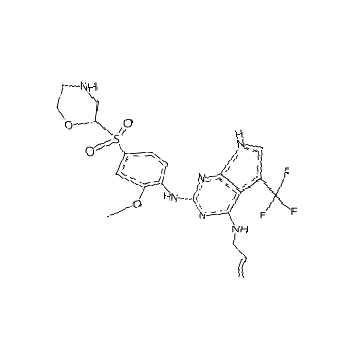 C=CCNc1nc(Nc2ccc(S(=O)(=O)C3CNCCO3)cc2OC)nc2[nH]cc(C(F)(F)F)c12